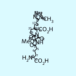 CO[C@@]1(NC(=O)CCCC(N)C(=O)O)C(=O)N2C(C(=O)O)=C(CSc3nnnn3C)CS[C@H]21